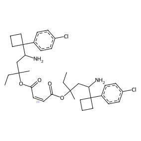 CCC(C)(CC(N)C1(c2ccc(Cl)cc2)CCC1)OC(=O)/C=C\C(=O)OC(C)(CC)CC(N)C1(c2ccc(Cl)cc2)CCC1